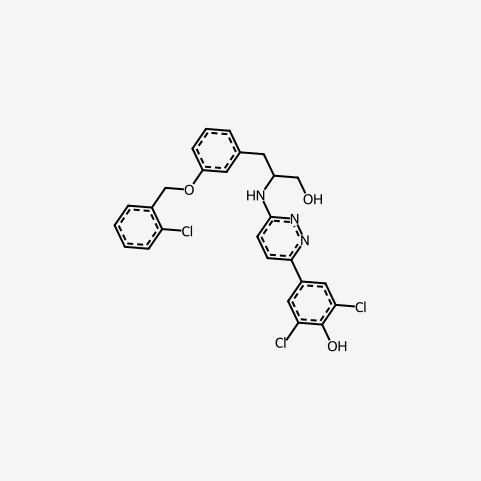 OCC(Cc1cccc(OCc2ccccc2Cl)c1)Nc1ccc(-c2cc(Cl)c(O)c(Cl)c2)nn1